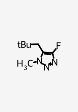 Cn1nnc(F)c1CC(C)(C)C